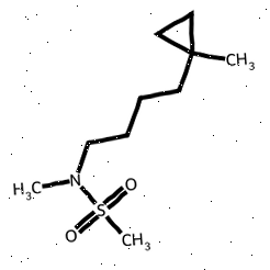 CN(CCCCC1(C)CC1)S(C)(=O)=O